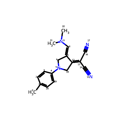 Cc1ccc(N2CC(=CN(C)C)C(=C(C#N)C#N)C2)cc1